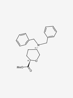 COC(=O)[C@H]1CC[C@H](N(Cc2ccccc2)Cc2ccccc2)CO1